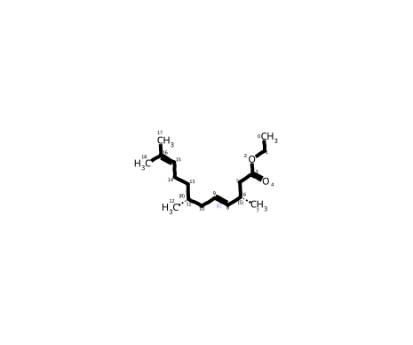 CCOC(=O)C[C@H](C)/C=C/C[C@H](C)CCC=C(C)C